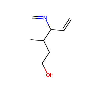 C=CC(N=C)C(C)CCO